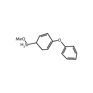 CO[SiH2]C1C=CC(Oc2ccccc2)=CC1